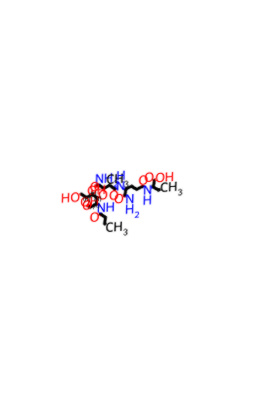 CCCC(=O)N[C@@H](C=O)[C@@H](OC(C(N)=O)C(C)C(=O)NC(CCC(=O)NC(CC)C(=O)O)C(N)=O)[C@H](O)[C@H](O)CO